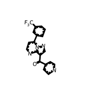 O=C(c1ccncc1)c1cnn2c(-c3cccc(C(F)(F)F)c3)ccnc12